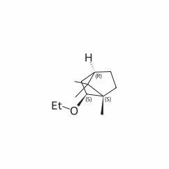 CCO[C@H]1C[C@H]2CC[C@@]1(C)C2(C)C